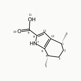 C[C@@H]1CC[C@H](C)c2[nH]c(C(=O)O)cc21